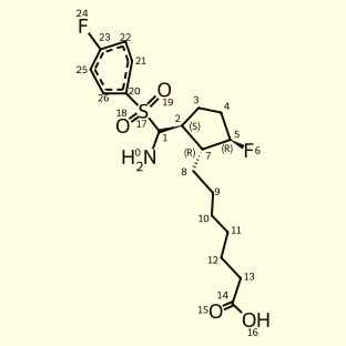 NC([C@H]1CC[C@@H](F)[C@@H]1CCCCCCC(=O)O)S(=O)(=O)c1ccc(F)cc1